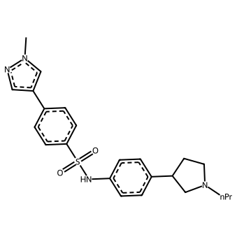 CCCN1CCC(c2ccc(NS(=O)(=O)c3ccc(-c4cnn(C)c4)cc3)cc2)C1